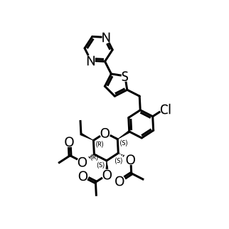 CC[C@H]1O[C@@H](c2ccc(Cl)c(Cc3ccc(-c4cnccn4)s3)c2)[C@H](OC(C)=O)[C@@H](OC(C)=O)[C@@H]1OC(C)=O